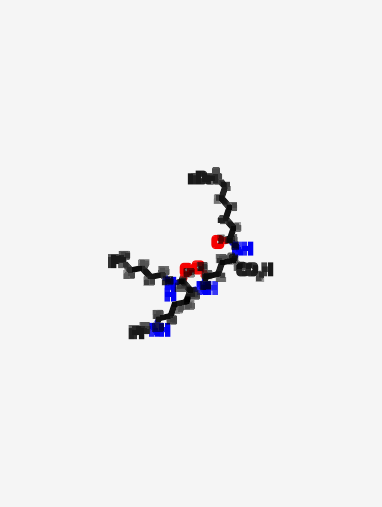 CCCCCCCCCCCCCCCC(=O)N[C@@H](CCC(=O)N[C@@H](CCCCNC(C)C)C(=O)NCCCCC(C)C)C(=O)O